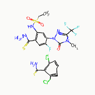 CCS(=O)(=O)Nc1cc(-n2nc(C(F)(F)F)n(C)c2=O)c(F)cc1C(N)=S.NC(=S)c1c(Cl)cccc1Cl